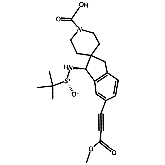 COC(=O)C#Cc1ccc2c(c1)[C@@H](N[S@+]([O-])C(C)(C)C)C1(CCN(C(=O)O)CC1)C2